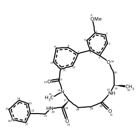 COc1ccc2c(c1)-c1cccc(c1)C(=O)N(C)[C@H](C(=O)NCc1cccnc1)CCC(=O)N[C@H](C)CO2